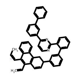 C=Cc1c2c(c3ccccc3c1/C=C\C)CC(c1cccc(-c3ccccc3-c3nccc(-c4cccc(-c5ccccc5)c4)n3)c1)C=C2